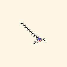 CCCCCCCCCCCCCCCC[N+]([O-])(CCCC)CCCC